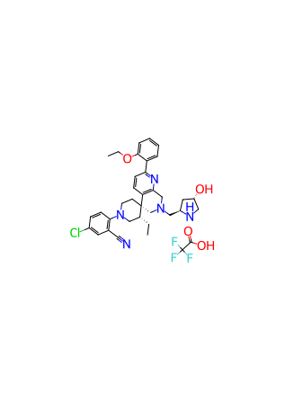 CCOc1ccccc1-c1ccc2c(n1)CN(C[C@H]1C[C@H](O)CN1)C[C@]21CCN(c2ccc(Cl)cc2C#N)C[C@H]1CC.O=C(O)C(F)(F)F